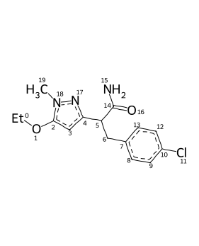 CCOc1cc(C(Cc2ccc(Cl)cc2)C(N)=O)nn1C